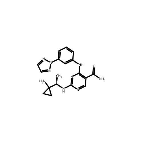 C[C@@H](Nc1ncc(C(N)=O)c(Nc2cccc(-n3nccn3)c2)n1)C1(N)CC1